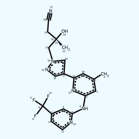 Cc1cc(Nc2cc(C(F)(F)F)ccn2)nc(-c2cnn(C[C@@](C)(O)CC#N)c2)c1